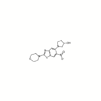 O=[N+]([O-])c1cc2oc(N3CCOCC3)nc2cc1N1CCC(O)C1